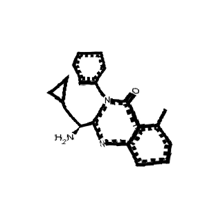 Cc1cccc2nc([C@@H](N)C3CC3)n(-c3ccccc3)c(=O)c12